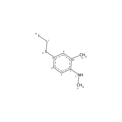 CNc1ccc(SCI)cc1C